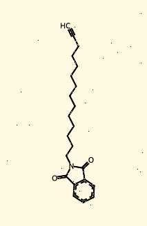 C#CCCCCCCCCCCCCN1C(=O)c2ccccc2C1=O